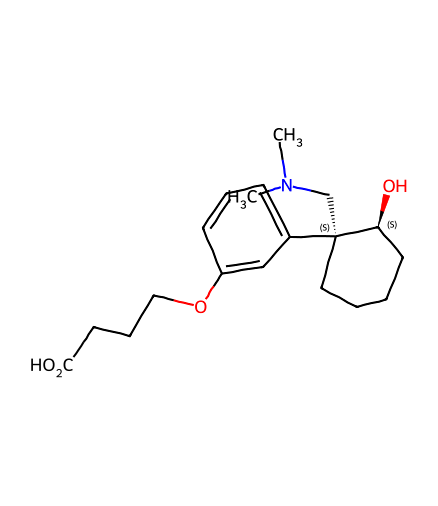 CN(C)C[C@@]1(c2cccc(OCCCC(=O)O)c2)CCCC[C@@H]1O